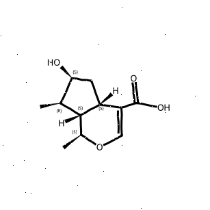 C[C@@H]1[C@H]2[C@H](C)OC=C(C(=O)O)[C@H]2C[C@@H]1O